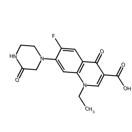 CCn1cc(C(=O)O)c(=O)c2cc(F)c(N3CCNC(=O)C3)cc21